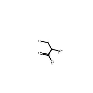 CCCC(CI)C(=O)Cl